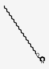 CCCCCCCCCCCCCCCCCCCCCCCCCCCCOCc1cccnc1